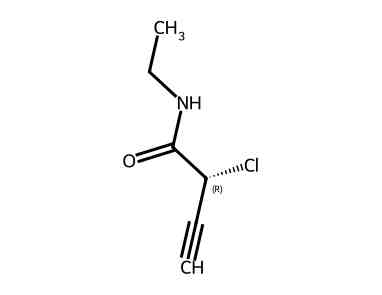 C#C[C@@H](Cl)C(=O)NCC